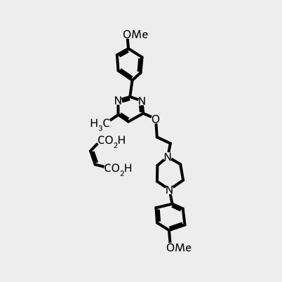 COc1ccc(-c2nc(C)cc(OCCN3CCN(c4ccc(OC)cc4)CC3)n2)cc1.O=C(O)/C=C\C(=O)O